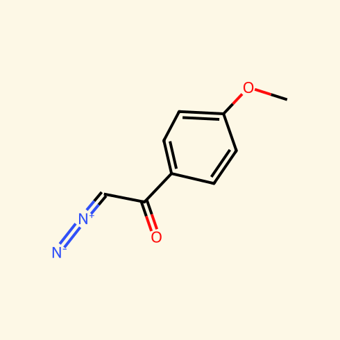 COc1ccc(C(=O)C=[N+]=[N-])cc1